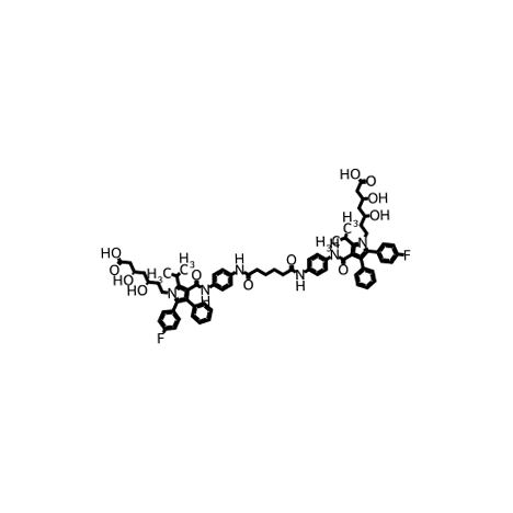 CC(C)c1c(C(=O)Nc2ccc(NC(=O)CCCCC(=O)Nc3ccc(NC(=O)c4c(-c5ccccc5)c(-c5ccc(F)cc5)n(CC[C@@H](O)C[C@@H](O)CC(=O)O)c4C(C)C)cc3)cc2)c(-c2ccccc2)c(-c2ccc(F)cc2)n1CCC(O)CC(O)CC(=O)O